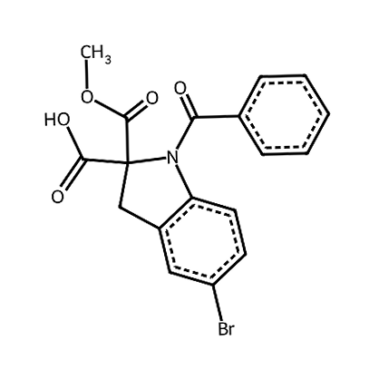 COC(=O)C1(C(=O)O)Cc2cc(Br)ccc2N1C(=O)c1ccccc1